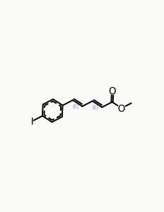 COC(=O)/C=C/C=C/c1ccc(I)cc1